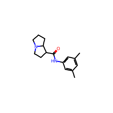 Cc1cc(C)cc(NC(=O)C2CCN3CCCC23)c1